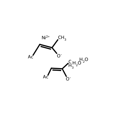 CC(=O)/C=C(/C)[O-].CC(=O)/C=C(/C)[O-].O.O.[Ni+2]